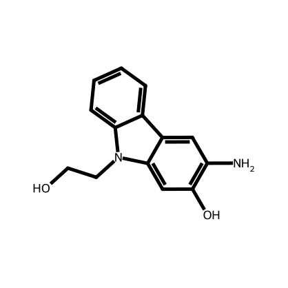 Nc1cc2c3ccccc3n(CCO)c2cc1O